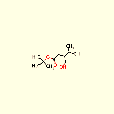 CC(C)C(CO)CC(=O)OC(C)(C)C